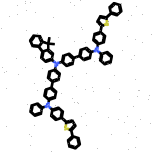 CC1(C)c2ccccc2-c2ccc(N(c3ccc(-c4ccc(N(c5ccccc5)c5ccc(-c6ccc(-c7ccccc7)s6)cc5)cc4)cc3)c3ccc(-c4ccc(N(c5ccccc5)c5ccc(-c6ccc(-c7ccccc7)s6)cc5)cc4)cc3)cc21